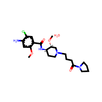 COc1cc(N)c(Cl)cc1C(=O)N[C@@H]1CCN(CCCC(=O)N2CCCC2)C[C@H]1OC.O